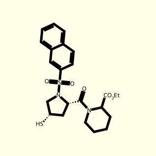 CCOC(=O)C1CCCCN1C(=O)[C@@H]1C[C@H](S)CN1S(=O)(=O)c1ccc2ccccc2c1